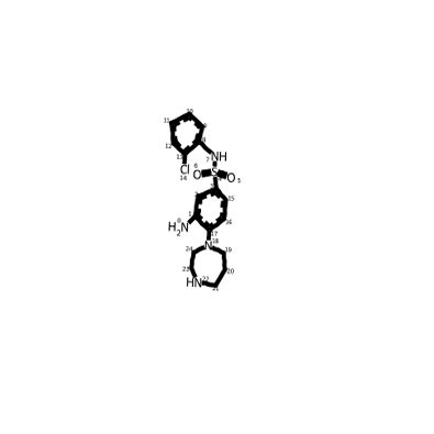 Nc1cc(S(=O)(=O)Nc2ccccc2Cl)ccc1N1CCCNCC1